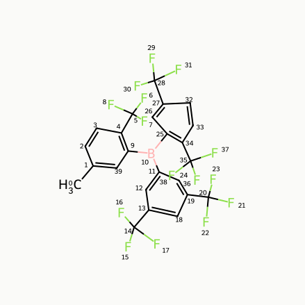 Cc1ccc(C(F)(F)F)c(B(c2cc(C(F)(F)F)cc(C(F)(F)F)c2)c2cc(C(F)(F)F)ccc2C(F)(F)F)c1